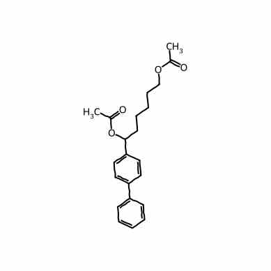 CC(=O)OCCCCCC(OC(C)=O)c1ccc(-c2ccccc2)cc1